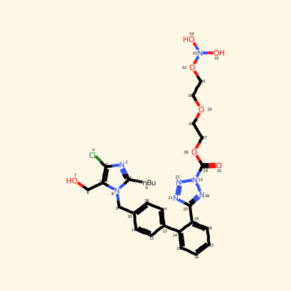 CCCCc1nc(Cl)c(CO)n1Cc1ccc(-c2ccccc2-c2nnn(C(=O)OCCOCCON(O)O)n2)cc1